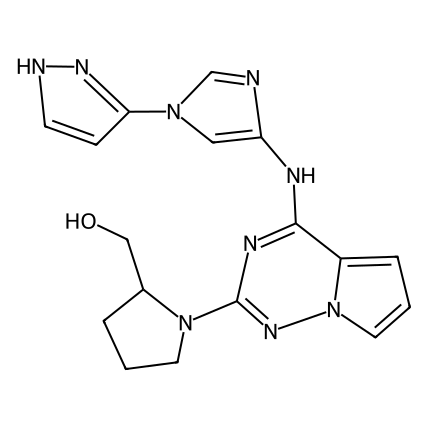 OCC1CCCN1c1nc(Nc2cn(-c3cc[nH]n3)cn2)c2cccn2n1